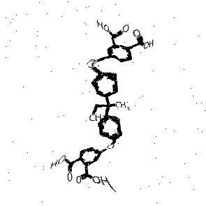 CCC(C)(c1ccc(Oc2ccc(C(=O)O)c(C(=O)O)c2)cc1)c1ccc(Oc2ccc(C(=O)O)c(C(=O)O)c2)cc1